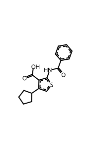 O=C(Nc1scc(C2CCCC2)c1C(=O)O)c1ccccc1